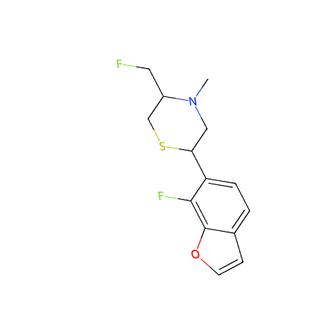 CN1CC(c2ccc3ccoc3c2F)SCC1CF